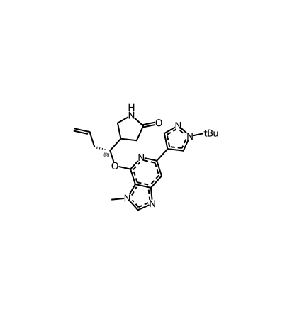 C=CC[C@@H](Oc1nc(-c2cnn(C(C)(C)C)c2)cc2ncn(C)c12)C1CNC(=O)C1